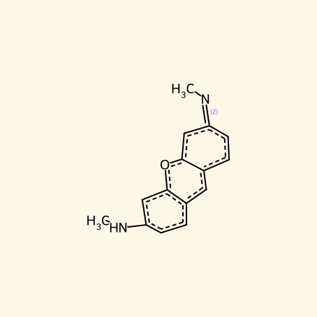 C/N=c1/ccc2cc3ccc(NC)cc3oc-2c1